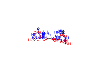 N=C(N)NCCC[C@@H]1NC(=O)[C@H](CCCNC(=O)CO/N=C/CCC/C=N/OCC(=O)NCCC[C@@H]2NC(=O)[C@@H](Cc3ccc(O)cc3)NC(=O)CNC(=O)[C@H](Cc3ccc4ccccc4c3)NC(=O)[C@H](CCCNC(=N)N)NC2=O)NC(=O)[C@@H](Cc2ccc(O)cc2)NC(=O)CNC(=O)[C@H](Cc2ccc3ccccc3c2)NC1=O